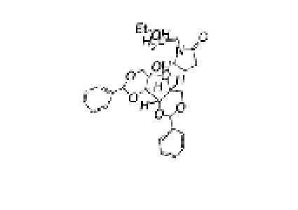 C=CN1CCCC1=O.O[C@]12COC(c3ccccc3)O[C@@H]1[C@H]1OC(c3ccccc3)OC[C@H]1O2.[CH2]CO